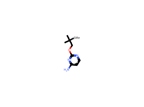 CSC(C)(C)COc1nccc(N)n1